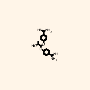 CC(O)C(Oc1ccc(C(=N)N)cc1)Oc1ccc(C(=N)N)cc1